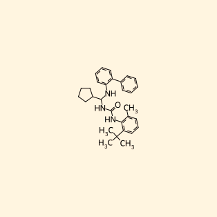 Cc1cccc(C(C)(C)C)c1NC(=O)NC(Nc1ccccc1-c1ccccc1)C1CCCC1